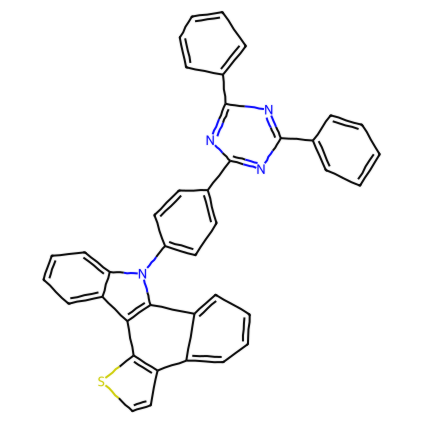 c1ccc(-c2nc(-c3ccccc3)nc(-c3ccc(-n4c5ccccc5c5c6sccc6c6ccccc6c54)cc3)n2)cc1